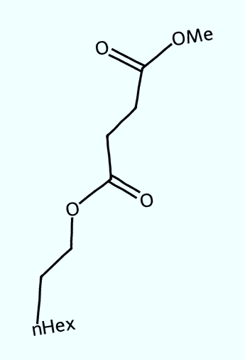 CCCCCCCCOC(=O)CCC(=O)OC